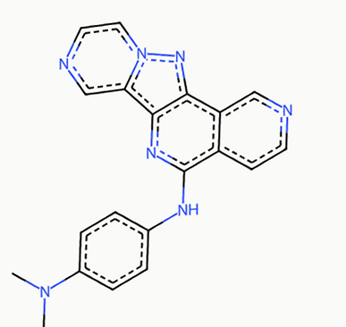 CN(C)c1ccc(Nc2nc3c(nn4ccncc34)c3cnccc23)cc1